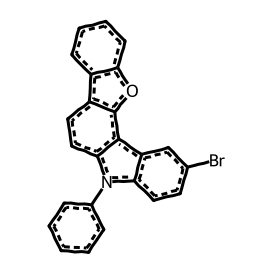 Brc1ccc2c(c1)c1c3oc4ccccc4c3ccc1n2-c1ccccc1